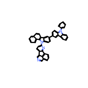 c1ccc(-n2c3ccccc3c3cc(-c4ccc5c(c4)c4ccc6ccccc6c4n5-c4ccc5c(n4)-c4cccc6cncc-5c46)ccc32)cc1